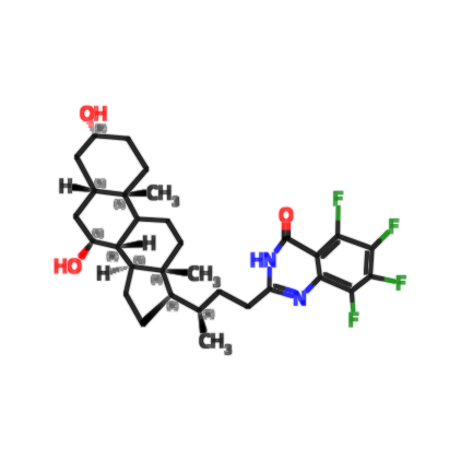 C[C@H](CCc1nc2c(F)c(F)c(F)c(F)c2c(=O)[nH]1)[C@H]1CC[C@H]2[C@H]3C(CC[C@]12C)[C@@]1(C)CC[C@@H](O)C[C@H]1C[C@@H]3O